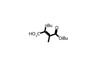 CCCCC(C(=O)O)=C(C)C(=O)OCC(C)C